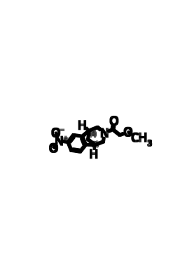 COCC(=O)N1C[C@H]2C[C@@H](C1)c1cc([N+](=O)[O-])ccc12